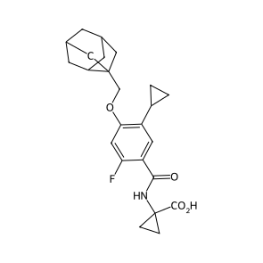 O=C(NC1(C(=O)O)CC1)c1cc(C2CC2)c(OCC23CC4CC(CC2C4)C3)cc1F